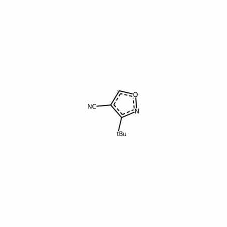 CC(C)(C)c1no[c]c1C#N